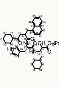 CC(C)OC(=O)C(O)[C@H](CC1CCCCC1)NC(=O)[C@H](Cc1c[nH]cn1)NC(=O)C(CC(=O)C1CCCCC1)Cc1cccc2ccccc12